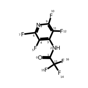 O=C(Nc1c(F)c(F)nc(F)c1F)C(F)(F)F